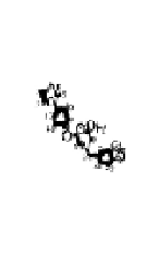 O=C(O)CN(CCOc1ccc(-n2ccnc2)cc1)Cc1ccc2c(c1)OCO2